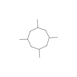 CC1CC(C)CC(C)CC(C)C1